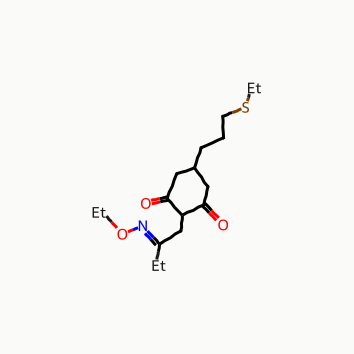 CCON=C(CC)CC1C(=O)CC(CCCSCC)CC1=O